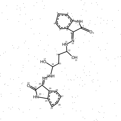 O=C1Nc2ccccc2/C1=N\NC(O)CCC(O)N/N=C1/C(=O)Nc2ccccc21